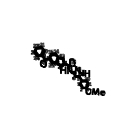 COc1ccc(-c2cc(NC(=O)C3Cc4ccc(C(=O)c5ccccc5)cc4C3)n[nH]2)cc1